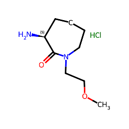 COCCN1CCCC[C@H](N)C1=O.Cl